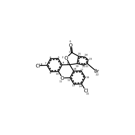 O=C1OC2(c3ccc(Cl)cc3Oc3cc(Cl)ccc32)c2cc(Br)ccc21